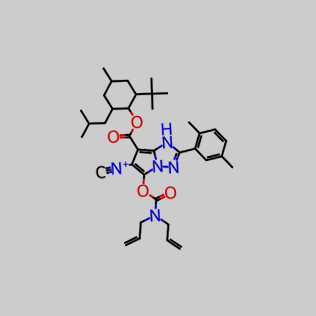 [C-]#[N+]c1c(C(=O)OC2C(CC(C)C)CC(C)CC2C(C)(C)C)c2[nH]c(-c3cc(C)ccc3C)nn2c1OC(=O)N(CC=C)CC=C